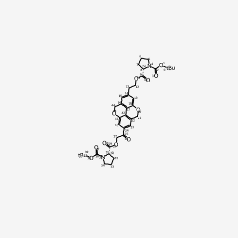 CC(C)(C)OC(=O)N1CCC[C@H]1C(=O)OCCc1cc2c3c(c1)OCc1cc(C(=O)COC(=O)[C@@H]4CCCN4C(=O)OC(C)(C)C)cc(c1-3)OC2